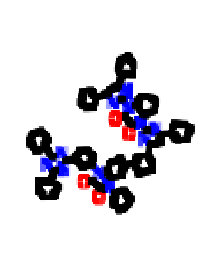 O=c1c(=O)n(-c2ccccc2)c2cc(-c3cccc(-c4cc(-c5ccccc5)nc(-n5c(=O)c(=O)n(-c6nc(-c7ccccc7)cc(-c7ccccc7)n6)c6ccccc65)n4)c3)ccc2n1-c1cccc(-c2nc(-c3ccccc3)nc(-c3ccccc3)n2)c1